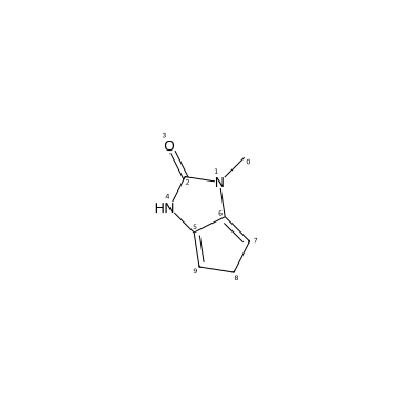 Cn1c(=O)[nH]c2c1=CCC=2